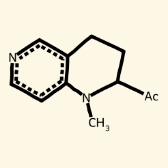 CC(=O)C1CCc2cnccc2N1C